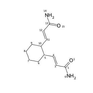 NC(=O)C=CC1CCCCC1C=CC(N)=O